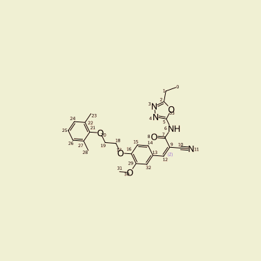 CCc1nnc(NC(=O)/C(C#N)=C\c2ccc(OCCOc3c(C)cccc3C)c(OC)c2)o1